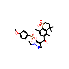 CCn1ncc(C(=O)c2cc(C)c3c(c2C)C(C)(C)CCS3(=O)=O)c1OS(=O)(=O)c1ccc(OC)cc1